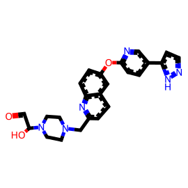 O=CC(O)N1CCN(Cc2ccc3cc(Oc4ccc(-c5ccn[nH]5)cn4)ccc3n2)CC1